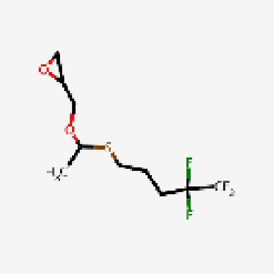 CC(OCC1CO1)SCCCC(F)(F)C(F)(F)F